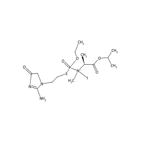 CCOP(=O)(SCCN1CC(=O)N=C1N)[N+](C)(I)[C@@H](C)C(=O)OC(C)C